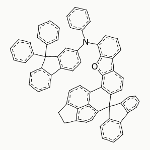 c1ccc(N(c2ccc3c(c2)C(c2ccccc2)(c2ccccc2)c2ccccc2-3)c2cccc3c2oc2c4c(ccc23)C2(c3ccccc3-c3ccccc32)c2ccc3c5c(ccc-4c25)CC3)cc1